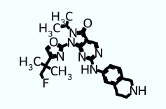 CC(C)n1c(=O)c2cnc(Nc3ccc4c(c3)CCNC4)nc2n1-c1nc(C(C)(C)CF)co1